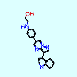 OCCNc1ccc(-c2cnc3c(-c4ccnc5ccccc45)cnn3c2)cc1